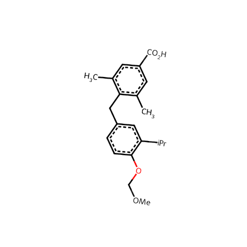 COCOc1ccc(Cc2c(C)cc(C(=O)O)cc2C)cc1C(C)C